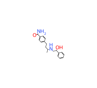 CC(CCc1ccc(C(N)=O)cc1)NCC(O)c1ccccc1